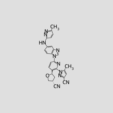 Cc1ccc(Nc2ccc3c(c2)ncn3-c2ccc([C@H]3C[C@H](C#N)CO3)c(-n3nc(C#N)cc3C)n2)nn1